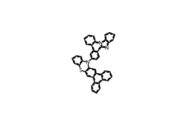 c1ccc2c(c1)Sc1cc3c4ccccc4c4ccccc4c3cc1N2c1ccc2c(c1)c1ccccc1n1c3ccccc3nc21